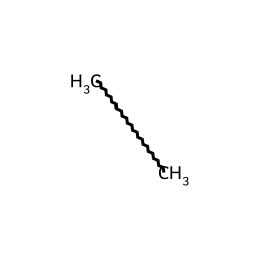 CCCCCCCC=CCCCCCCCCCCCCCCCCCC